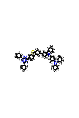 c1ccc(-c2nc(-c3ccccc3)nc(-c3ccc4c(c3)sc3ccc(-c5ccc6c(c5)c5ccccc5n6-c5ccc6c(c5)c5ccccc5n6-c5ccccc5)cc34)n2)cc1